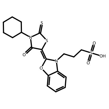 O=C1/C(=C2\Oc3ccccc3N2CCCS(=O)(=O)O)SC(=S)N1C1CCCCC1